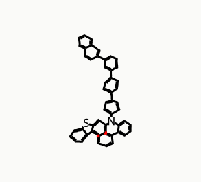 c1ccc(-c2ccccc2N(c2ccc(-c3ccc(-c4cccc(-c5ccc6ccccc6c5)c4)cc3)cc2)c2ccc3c(c2)sc2ccccc23)cc1